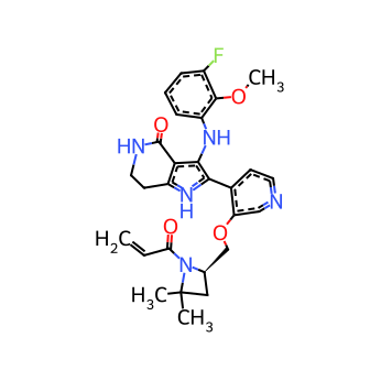 C=CC(=O)N1[C@@H](COc2cnccc2-c2[nH]c3c(c2Nc2cccc(F)c2OC)C(=O)NCC3)CC1(C)C